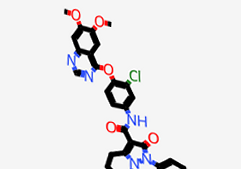 COc1cc2ncnc(Oc3ccc(NC(=O)c4c5n(n(-c6ccc(F)cc6)c4=O)CCCC5)cc3Cl)c2cc1OC